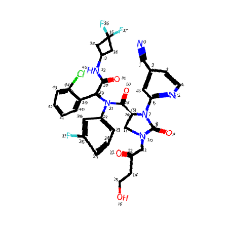 N#Cc1ccnc(N2C(=O)N(CC(=O)CCO)C[C@H]2C(=O)N(c2cccc(F)c2)C(C(=O)NC2CC(F)(F)C2)c2ccccc2Cl)c1